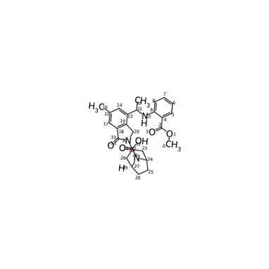 COC(=O)c1ccccc1NC(C)c1cc(C)cc2c1CN(C1CC3CC[C@@H](C1)N3C(=O)O)C2=O